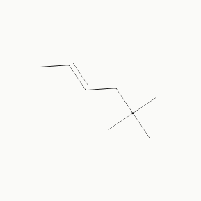 [CH2]C(C)(C)C/C=C/C